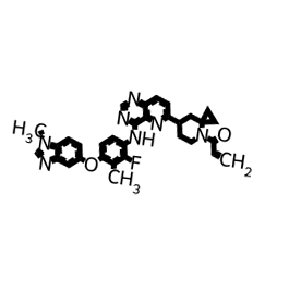 C=CC(=O)N1CCC(c2ccc3ncnc(Nc4ccc(Oc5ccc6c(c5)ncn6C)c(C)c4F)c3n2)CC12CC2